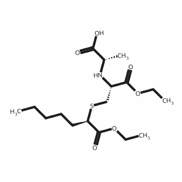 CCCCC[C@@H](SC[C@H](N[C@@H](C)C(=O)O)C(=O)OCC)C(=O)OCC